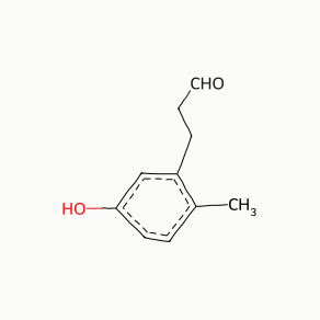 Cc1ccc(O)cc1CCC=O